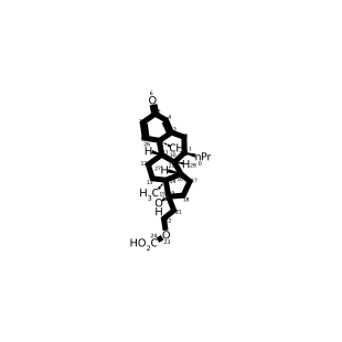 CCC[C@@H]1CC2=CC(=O)C=C[C@]2(C)[C@H]2CC[C@@]3(C)[C@@H](CC[C@@]3(O)CCOC(=O)O)[C@H]12